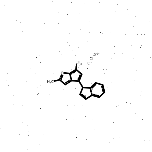 CC1=PC2=C(C)C=C(C3C=Cc4ccccc43)C2=C1.[Cl-].[Cl-].[Zr+2]